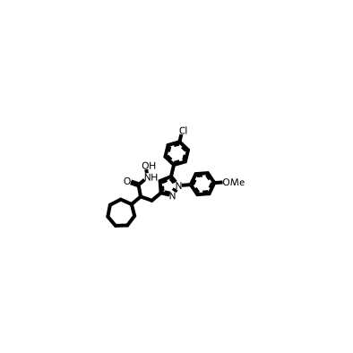 COc1ccc(-n2nc(CC(C(=O)NO)C3CCCCCC3)cc2-c2ccc(Cl)cc2)cc1